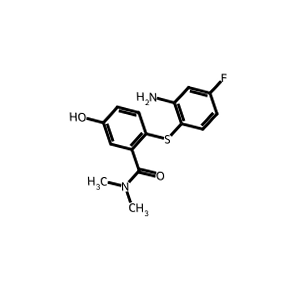 CN(C)C(=O)c1cc(O)ccc1Sc1ccc(F)cc1N